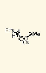 CC/C=C\Nc1cn(-c2ccc(C#N)c(OCCOC)c2)cn1